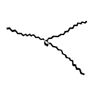 CCCCCCCCCCCCCCCCCC1N(CCCCCCCCCCCCCCCC)C=CN1CCCCCCCCCCCCCCCCC